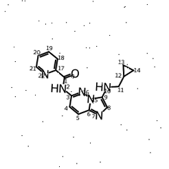 O=C(Nc1ccc2ncc(NCC3CC3)n2n1)c1ccccn1